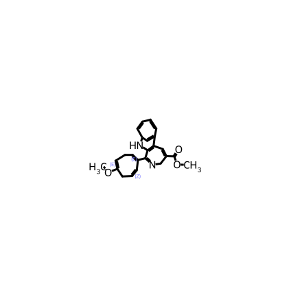 COC(=O)C1=CC2=C(NC3C=CC=CC2=C3)C(C2=C/C/C=C(/OC)C/C=C\2)=NC1